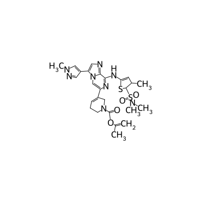 C=C(C)OC(=O)N1CCC=C(c2cn3c(-c4cnn(C)c4)cnc3c(NC3=CC(C)C(S(=O)(=O)N(C)C)S3)n2)C1